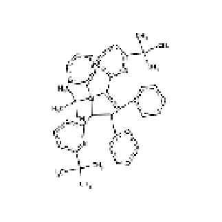 CC(C)(C)c1cccc(C2=C(c3ccccc3)C(c3ccccc3)=C(c3cccc(C(C)(C)C)n3)[Si]2(c2ccccc2)C(C)(C)C)n1